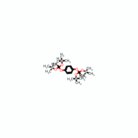 CC(Oc1ccc(OC(C)(O[Si](C)(C)C)O[Si](C)(C)C)cc1)(O[Si](C)(C)C)O[Si](C)(C)C